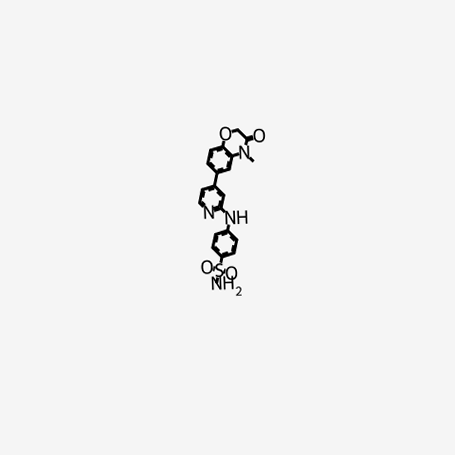 CN1C(=O)COc2ccc(-c3ccnc(Nc4ccc(S(N)(=O)=O)cc4)c3)cc21